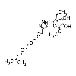 C=C[C@H]1[C@H](O)[C@@H](O)[C@@H](OC)O[C@@H]1Cn1cc(COCCOCCOCCC(C)C)nn1